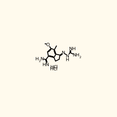 COc1cc(C(=N)N)c2c(c1C)C(=NNC(=N)N)CC2.Cl.Cl